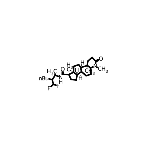 CCCCC(C(F)F)C(C)NC(=O)C1CC[C@H]2[C@@H]3CCC4N(C)C(=O)CC[C@]4(C)[C@@H]3CC[C@]12C